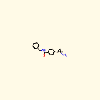 N[C@@H]1C[C@H]1c1ccc(C(=O)NCc2ccccc2)cc1